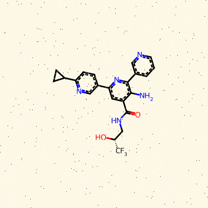 Nc1c(C(=O)NC[C@@H](O)C(F)(F)F)cc(-c2ccc(C3CC3)nc2)nc1-c1cccnc1